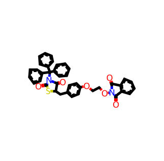 O=C1c2ccccc2C(=O)N1OCCOc1ccc(CC2SC(=O)N(C(c3ccccc3)(c3ccccc3)c3ccccc3)C2=O)cc1